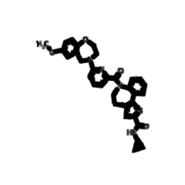 COc1ccc2c(c1)CN(c1cccc(C(=O)N3CCc4cc(C(=O)NC5CC5)sc4-c4ccccc43)n1)CCO2